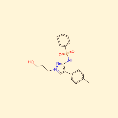 Cc1ccc(-c2cn(CCCO)nc2NS(=O)(=O)c2ccccc2)cc1